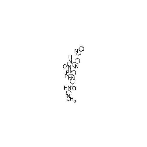 CN1CCC(NC(=O)C2CCN(c3ccc(-c4nc5ccc(-c6cnc7ccccc7c6)cc5c5c4NC(=O)CN5)cc3C(F)(F)F)CC2)CC1